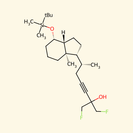 C[C@H](CC#CC(O)(CF)CF)[C@H]1CC[C@H]2[C@@H](O[Si](C)(C)C(C)(C)C)CCC[C@]12C